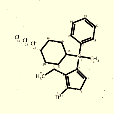 CCC1=[C]([Ti+3])CC=C1[Si](C)(c1ccccc1)C1CCCCC1.[Cl-].[Cl-].[Cl-]